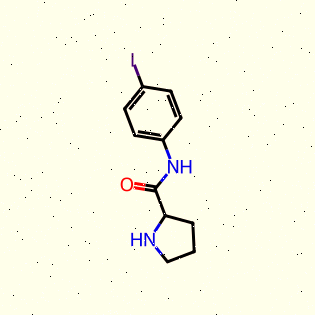 O=C(Nc1ccc(I)cc1)C1CCCN1